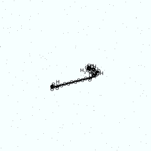 Cc1c(-c2ccc(C[C@H](NC(=O)c3c(F)cc(CNC(=O)CCOCCOCCOCCOCCOCCOCCOCCOCCNC(=O)CCN4C(=O)C=CC4=O)cc3F)C(=O)O)cc2)c(=O)n(C)c(=O)n1C